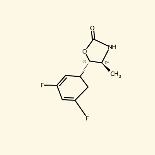 C[C@@H]1NC(=O)O[C@H]1C1C=C(F)C=C(F)C1